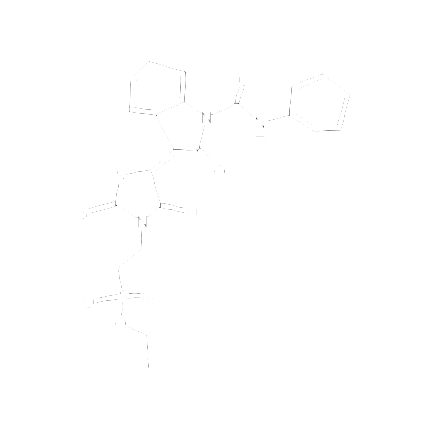 CCOS(=O)(=O)CCN1C(=O)/C(=C2\C(=O)N(C(=O)Nc3ccccc3)c3ccccc32)SC1=S